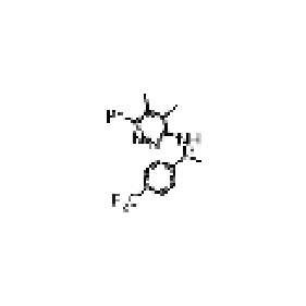 Cc1c(N[C@@H](C)c2ccc(C(F)(F)F)cc2)nnc(C(C)C)c1C